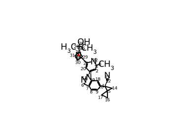 Cc1cc(-n2ncc3ccc([C@]4(C#N)CC45CC5)cc32)cc(N2CC3(C(C)(C)O)CC2C3)n1